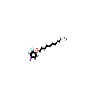 CCCCCCCCCCOc1ccc(I)cc1F